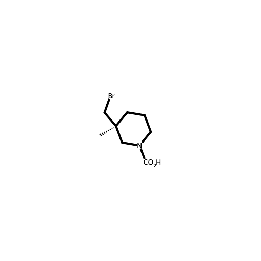 C[C@]1(CBr)CCCN(C(=O)O)C1